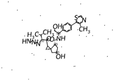 Cc1ncsc1-c1ccc([C@H](CO)NC(=O)[C@@H]2C[C@@H](O)CC23CC3C(=O)[C@@H](N=[N+]=N)C(C)C)cc1